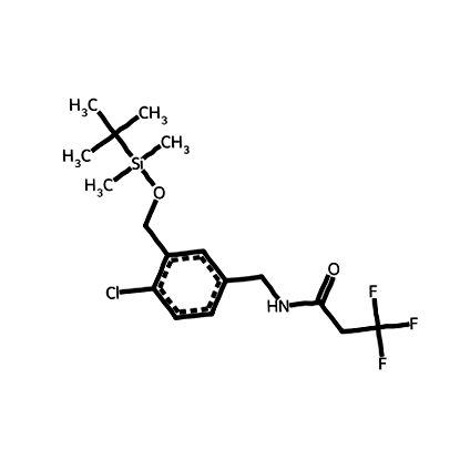 CC(C)(C)[Si](C)(C)OCc1cc(CNC(=O)CC(F)(F)F)ccc1Cl